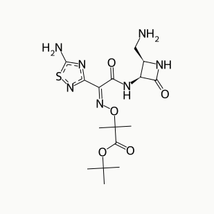 CC(C)(C)OC(=O)C(C)(C)O/N=C(\C(=O)N[C@@H]1C(=O)N[C@@H]1CN)c1nsc(N)n1